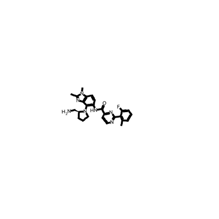 Cc1cccc(F)c1-c1nccc(C(=O)Nc2ccc3c(nc(C)n3C)c2N2CCC[C@H]2CN)n1